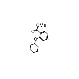 COC(=O)c1cc[c]cc1OC1CCCCC1